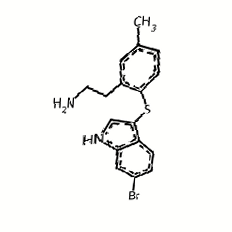 Cc1ccc(Sc2c[nH]c3cc(Br)ccc23)c(CCN)c1